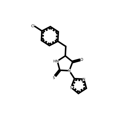 O=C1C(Cc2ccc(Cl)cc2)NC(=S)N1c1nccs1